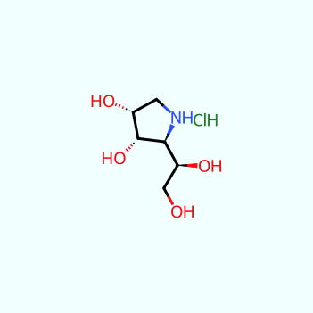 Cl.OC[C@H](O)[C@@H]1NC[C@@H](O)[C@H]1O